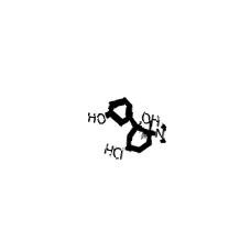 CN(C)[C@]1(C)CCCC[C@@]1(O)c1cccc(O)c1.Cl